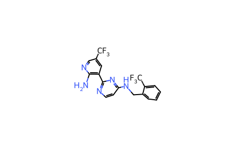 Nc1ncc(C(F)(F)F)cc1-c1nccc(NCc2ccccc2C(F)(F)F)n1